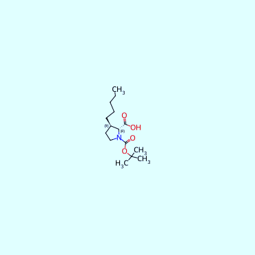 CCCCC[C@@H]1CCN(C(=O)OC(C)(C)C)[C@H]1C(=O)O